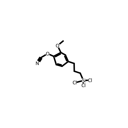 COc1cc(CCC[Si](Cl)(Cl)Cl)ccc1OC#N